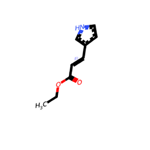 CCOC(=O)/C=C/c1cc[nH]c1